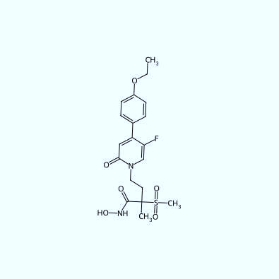 CCOc1ccc(-c2cc(=O)n(CCC(C)(C(=O)NO)S(C)(=O)=O)cc2F)cc1